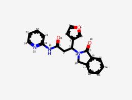 O=C(CC(c1ccoc1)N1Cc2ccccc2C1=O)Nc1ccccn1